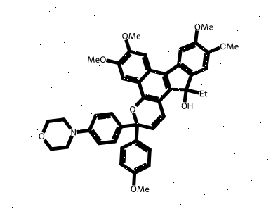 CCC1(O)c2cc(OC)c(OC)cc2-c2c1c1c(c3cc(OC)c(OC)cc23)OC(c2ccc(OC)cc2)(c2ccc(N3CCOCC3)cc2)C=C1